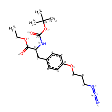 CCOC(=O)[C@H](Cc1ccc(OCCCN=[N+]=[N-])cc1)NC(=O)OC(C)(C)C